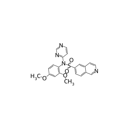 COc1ccc(N(c2ccncn2)S(=O)(=O)c2ccc3cnccc3c2)c(OC)c1